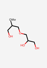 COC(CO)COCC(O)CO